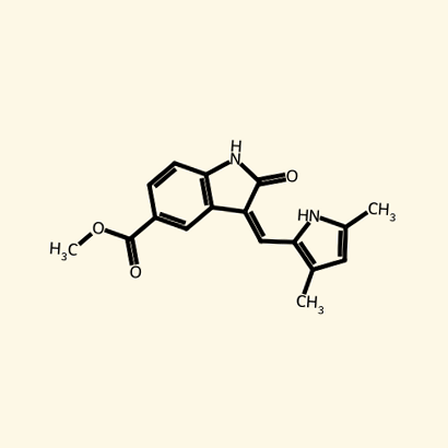 COC(=O)c1ccc2c(c1)C(=Cc1[nH]c(C)cc1C)C(=O)N2